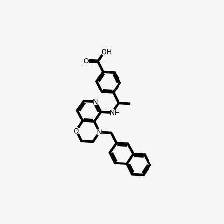 CC(Nc1nccc2c1N(Cc1ccc3ccccc3c1)CCO2)c1ccc(C(=O)O)cc1